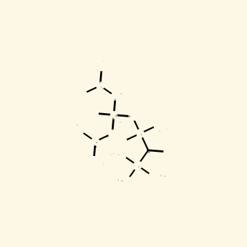 CO[Si](OC)(OC)C(C)[Si](C)(C)O[Si](C)(O[SiH](C)C)O[SiH](C)C